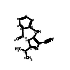 CC(C)c1nc(C#N)c(Nc2ccccc2N=O)s1